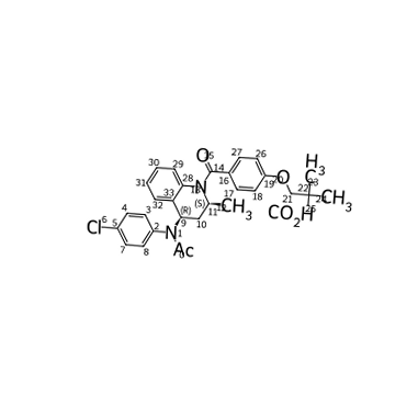 CC(=O)N(c1ccc(Cl)cc1)[C@@H]1C[C@H](C)N(C(=O)c2ccc(OCC(C)(C)C(=O)O)cc2)c2ccccc21